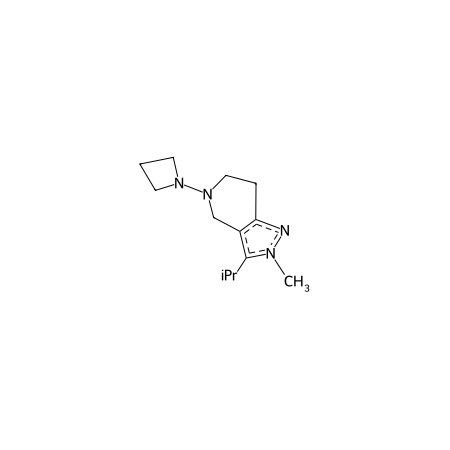 CC(C)c1c2c(nn1C)CCN(N1CCC1)C2